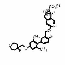 CCOC(=O)[C@H]1[C@@H]2Cc3cc(OCc4cc(-c5c(C)cc(OCC6(F)CCOCC6)cc5C)ccc4F)ncc3[C@@H]21